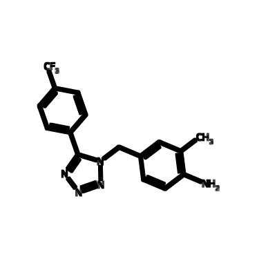 Cc1cc(Cn2nnnc2-c2ccc(C(F)(F)F)cc2)ccc1N